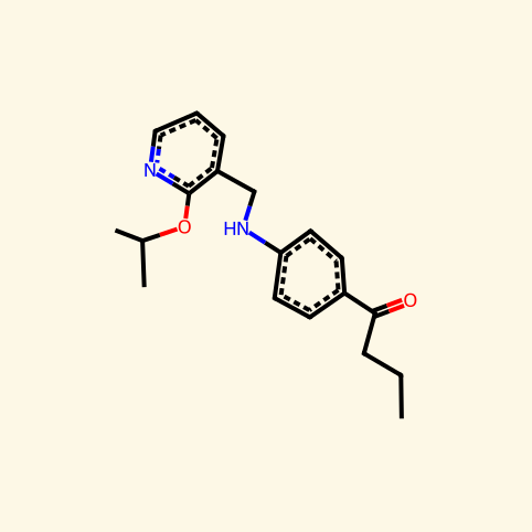 CCCC(=O)c1ccc(NCc2cccnc2OC(C)C)cc1